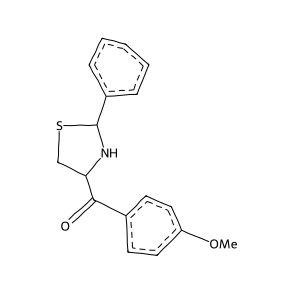 COc1ccc(C(=O)C2CSC(c3ccccc3)N2)cc1